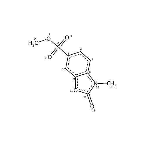 COS(=O)(=O)c1ccc2c(c1)oc(=O)n2C